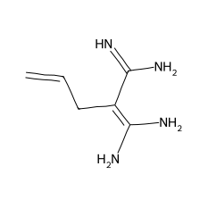 C=CCC(C(=N)N)=C(N)N